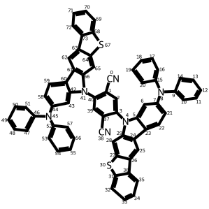 N#Cc1cc(-n2c3cc(N(c4ccccc4)c4ccccc4)ccc3c3cc4c(cc32)sc2ccccc24)c(C#N)cc1-n1c2cc(N(c3ccccc3)c3ccccc3)ccc2c2cc3c(cc21)sc1ccccc13